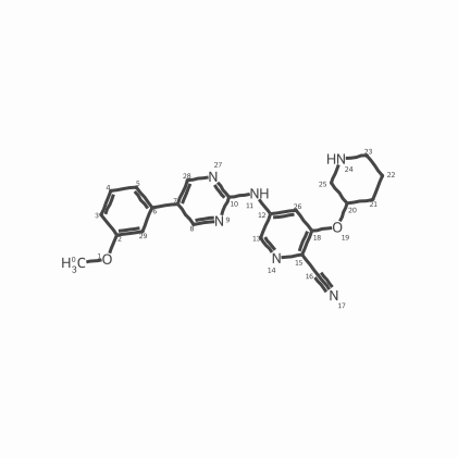 COc1cccc(-c2cnc(Nc3cnc(C#N)c(OC4CCCNC4)c3)nc2)c1